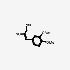 COc1ccc(C=C(C#N)[CH]C(C)(C)C)cc1OC